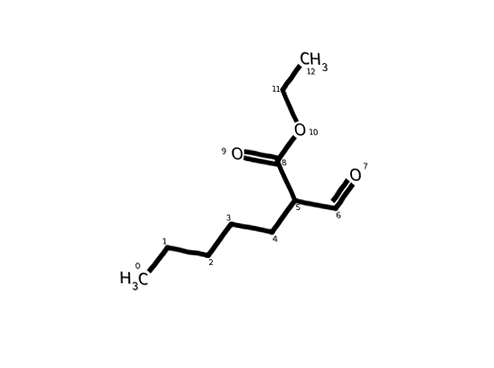 CCCCCC(C=O)C(=O)OCC